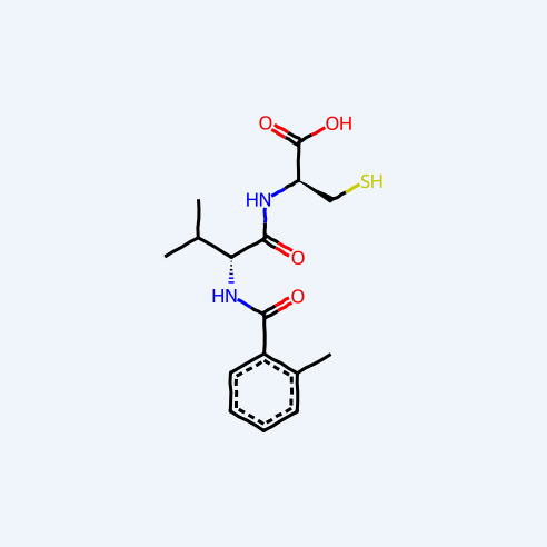 Cc1ccccc1C(=O)N[C@@H](C(=O)N[C@H](CS)C(=O)O)C(C)C